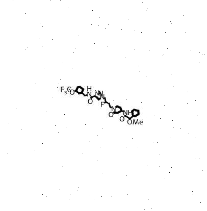 CO[C@@H](C(=O)Nc1ccn(CCC(F)Cn2cc(C(=O)NCc3cccc(OC(F)(F)F)c3)nn2)c(=O)c1)c1ccccc1